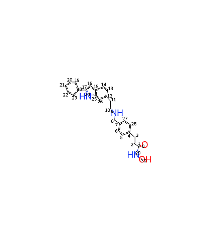 O=C(/C=C/c1ccc(CNCCc2ccc3cc(-c4ccccc4)[nH]c3c2)cc1)NO